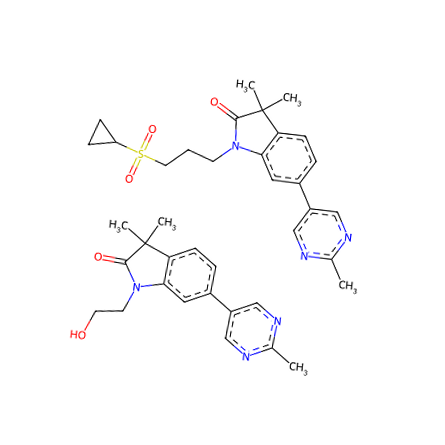 Cc1ncc(-c2ccc3c(c2)N(CCCS(=O)(=O)C2CC2)C(=O)C3(C)C)cn1.Cc1ncc(-c2ccc3c(c2)N(CCO)C(=O)C3(C)C)cn1